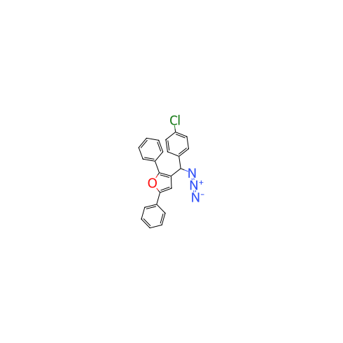 [N-]=[N+]=NC(c1ccc(Cl)cc1)c1cc(-c2ccccc2)oc1-c1ccccc1